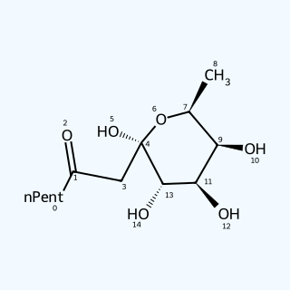 CCCCCC(=O)C[C@@]1(O)O[C@@H](C)[C@@H](O)[C@@H](O)[C@@H]1O